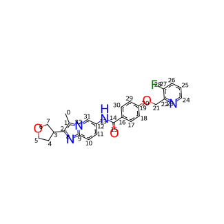 Cc1c(C2CCOC2)nc2ccc(NC(=O)c3ccc(OCc4ncccc4F)cc3)cn12